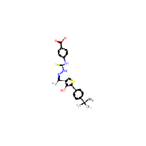 CC(=NNC(=S)Nc1ccc(C(=O)O)cc1)c1csc(-c2ccc(C(C)(C)C)cc2)c1O